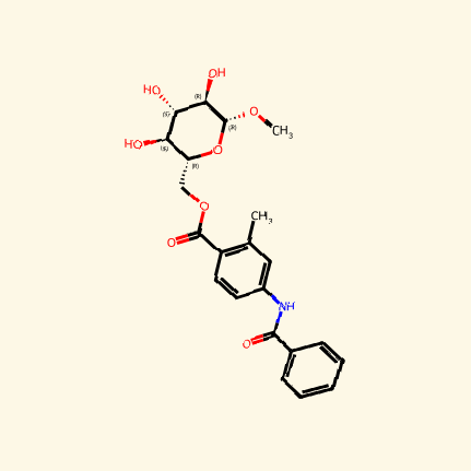 CO[C@@H]1O[C@H](COC(=O)c2ccc(NC(=O)c3ccccc3)cc2C)[C@@H](O)[C@H](O)[C@H]1O